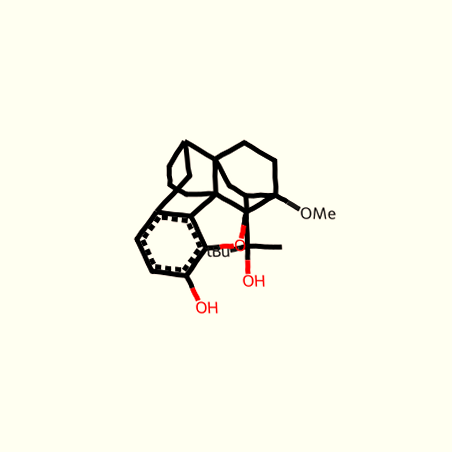 COC12CCC3(CC1C(C)(O)C(C)(C)C)C1CCCC34c3c(ccc(O)c3OC24)C1